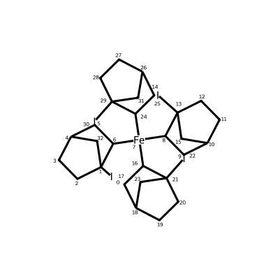 IC12CCC(C[CH]1[Fe]([CH]1CC3CCC1(I)C3)([CH]1CC3CCC1(I)C3)[CH]1CC3CCC1(I)C3)C2